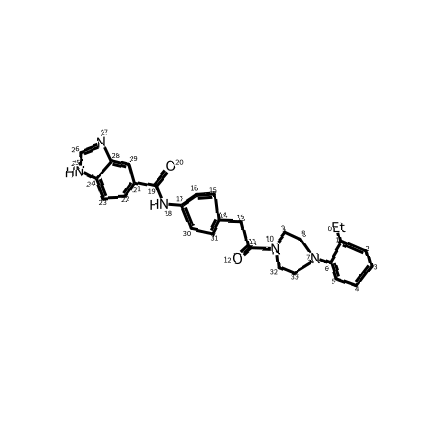 CCc1ccccc1N1CCN(C(=O)Cc2ccc(NC(=O)c3ccc4[nH]cnc4c3)cc2)CC1